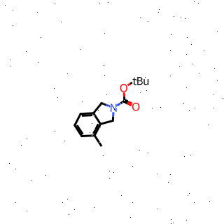 Cc1cccc2c1CN(C(=O)OC(C)(C)C)C2